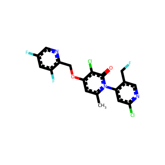 Cc1cc(OCc2ncc(F)cc2F)c(Cl)c(=O)n1-c1cc(Cl)ncc1CF